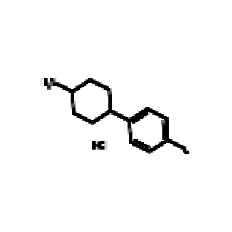 Cl.NC1CCC(c2ccc(Cl)cc2)CC1